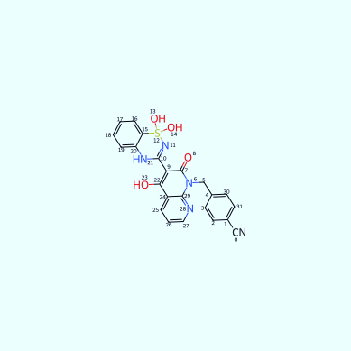 N#Cc1ccc(Cn2c(=O)c(C3=NS(O)(O)c4ccccc4N3)c(O)c3cccnc32)cc1